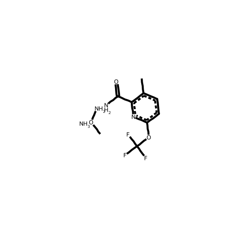 CON.Cc1ccc(OC(F)(F)F)nc1C(N)=O.N